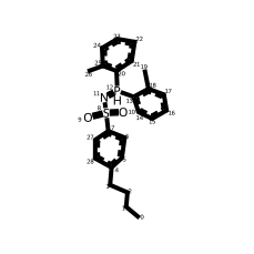 CCCCc1ccc(S(=O)(=O)N=[PH](c2ccccc2C)c2ccccc2C)cc1